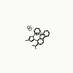 CC1=CC(c2ccccc2)C(c2c3c(ccc2=C(C)C)=c2ccccc2=[C]3[Zr+2])=C1.[Cl-].[Cl-]